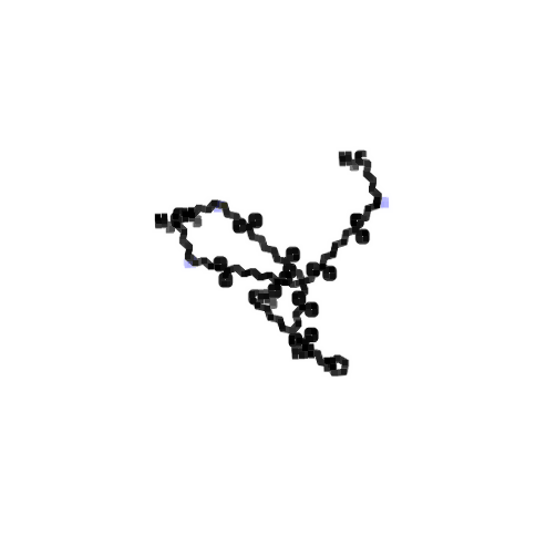 CCCCC/C=C\CCOC(=O)CCCCCC(=O)OCC(COC(=O)CCCCCC(=O)OCC/C=C\CCCCC)(COC(=O)CCCCCC(=O)OCC/C=C\CCCCC)COC(=O)CCC(CCCCCC)OC(=O)NCCN1CCCC1